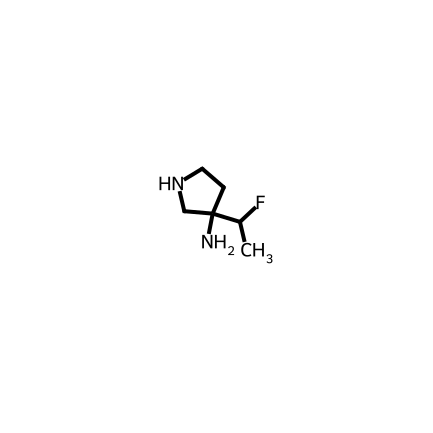 CC(F)C1(N)CCNC1